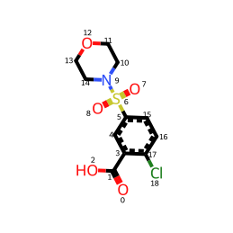 O=C(O)c1cc(S(=O)(=O)N2CCOCC2)ccc1Cl